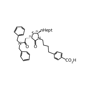 CCCCCCC[C@@H]1S[C@@H](CC(=O)N(Cc2ccccc2)Cc2ccccc2)C(=O)N1CCCCc1ccc(C(=O)O)cc1